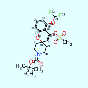 CC(C)(C)OC(=O)N1CCC2(C=C(OS(C)(=O)=O)c3c(OC(F)F)cccc3O2)CC1